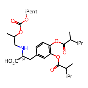 CCCC(C)OC(=O)OC(C)CN[C@@H](Cc1ccc(OC(=O)C(C)C(C)C)c(OC(=O)C(C)C(C)C)c1)C(=O)O